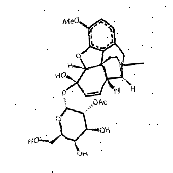 COc1ccc2c3c1O[C@@H]1[C@]34CCN(C)[C@H](C2)[C@@H]4C=C[C@]1(O)O[C@H]1O[C@H](CO)[C@H](O)[C@H](O)[C@H]1OC(C)=O